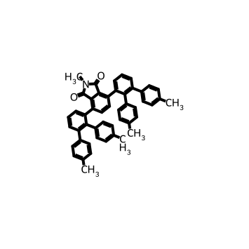 Cc1ccc(-c2cccc(-c3ccc(-c4cccc(-c5ccc(C)cc5)c4-c4ccc(C)cc4)c4c3C(=O)N(C)C4=O)c2-c2ccc(C)cc2)cc1